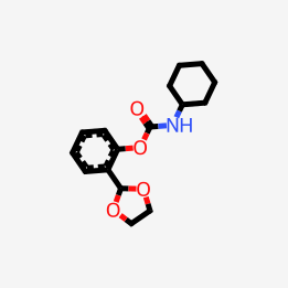 O=C(NC1CCCCC1)Oc1ccccc1C1OCCO1